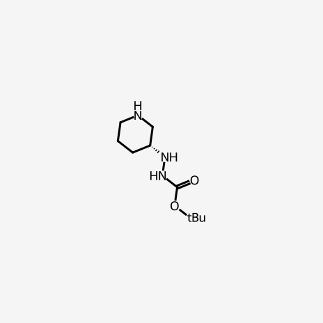 CC(C)(C)OC(=O)NN[C@@H]1CCCNC1